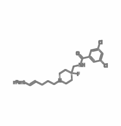 CCCCCC=CCCCN1CCC(F)(CNC(=O)c2cc(Cl)cc(Cl)c2)CC1